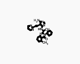 Cc1cccc2nc(C(C)Nc3ncnc(N)c3C#Cc3ncccn3)n(-c3ccccc3)c(=O)c12